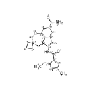 CCn1nc(C)cc1C(=O)Nc1nc2cc(C(N)=O)cc3c2n1CC1(CCC1)CO3